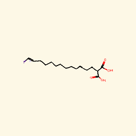 O=C(O)C(CCCCCCCCCCC/C=C/I)C(=O)O